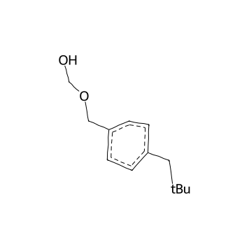 CC(C)(C)Cc1ccc(COCO)cc1